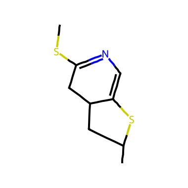 CSC1=NC=C2SC(C)CC2C1